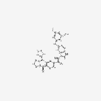 O=C(Nc1n[nH]c2ccc(Cc3cc(F)cc(F)c3)cc12)c1ccc(C(=O)N2CCC[C@H]2CN2CCCC2)cc1